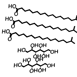 CC(C)CCCCCCCCCCCCCCC(=O)O.CC(C)CCCCCCCCCCCCCCC(=O)O.CC(C)CCCCCCCCCCCCCCC(=O)O.OC[C@@H](O)[C@@H](O)[C@H](O)[C@@H](O)CO.OC[C@@H](O)[C@@H](O)[C@H](O)[C@@H](O)CO